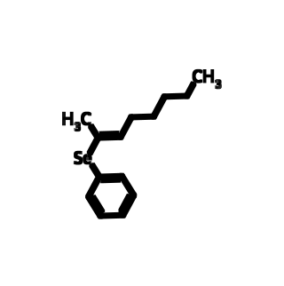 CCCCCC=C(C)[Se]c1ccccc1